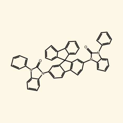 O=c1n(-c2ccccc2)c2ccccc2n1-c1ccc2c(c1)C1(c3ccccc3-c3ccccc31)c1cc(-n3c(=O)n(-c4ccccc4)c4ccccc43)ccc1-2